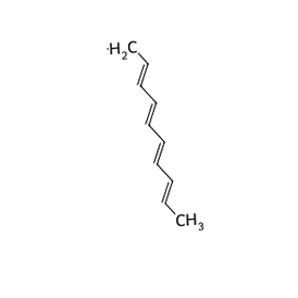 [CH2]/C=C/C=C/C=C/C=C/C